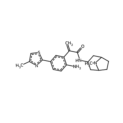 C=C(C(=O)NC1CC2CCC(C1)N2C)c1cc(-c2nc(C)cs2)ccc1N